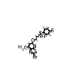 Cc1cc(OCCNSc2ccc(F)cc2)nc2sc(Br)nc12